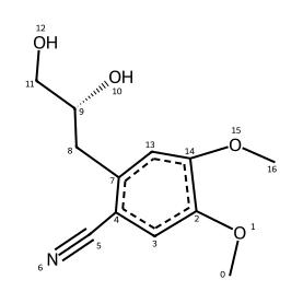 COc1cc(C#N)c(C[C@@H](O)CO)cc1OC